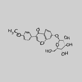 COc1ccc(-c2coc3cc(O[C@@H]4O[C@H](CO)[C@@H](O)[C@H](O)[C@H]4O)ccc3c2=O)cc1